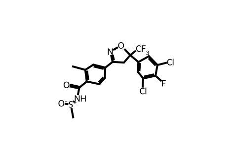 Cc1cc(C2=NOC(c3cc(Cl)c(F)c(Cl)c3)(C(F)(F)F)C2)ccc1C(=O)N[S+](C)[O-]